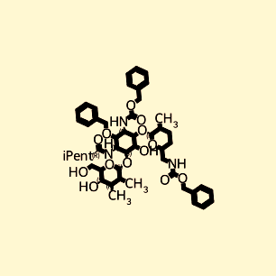 CCC[C@@H](C)C(=O)N[C@@H]1C(OCc2ccccc2)[C@H](NC(=O)OCc2ccccc2)C(O[C@H]2OC(CNC(=O)OCc3ccccc3)CCC2C)C(O)[C@H]1O[C@H]1OC(CO)[C@@H](O)[C@H](C)C1C